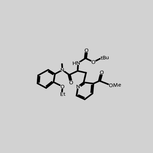 CCOc1ccccc1N(C)C(=O)C(Cc1ncccc1C(=O)OC)NC(=O)OC(C)(C)C